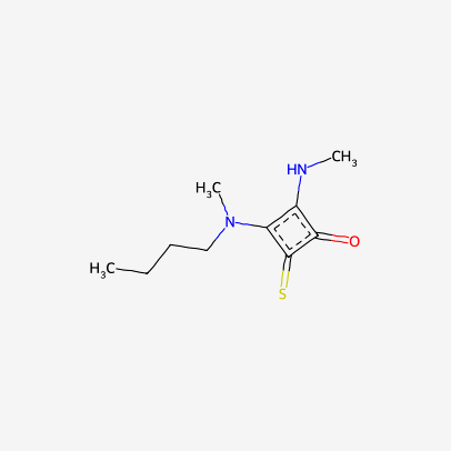 CCCCN(C)c1c(NC)c(=O)c1=S